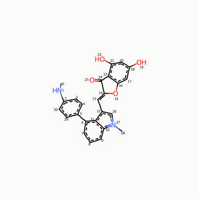 CNc1ccc(-c2cccc3c2c(C=C2Oc4cc(O)cc(O)c4C2=O)cn3C)cc1